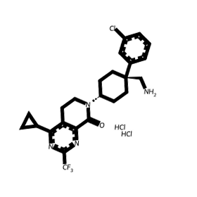 Cl.Cl.NC[C@]1(c2cccc(Cl)c2)CC[C@@H](N2CCc3c(nc(C(F)(F)F)nc3C3CC3)C2=O)CC1